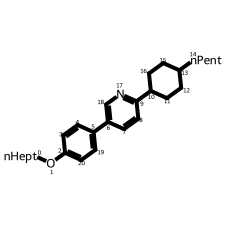 CCCCCCCOc1ccc(-c2ccc(C3CCC(CCCCC)CC3)nc2)cc1